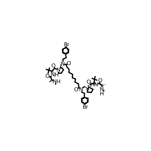 CN[C@@H](C)C(=O)N[C@H](C(=O)N1CCC[C@H]1CN(CCc1ccc(Br)cc1)C(=O)CCCCCCCCC(=O)N(CCc1ccc(Br)cc1)C[C@@H]1CCCN1C(=O)[C@@H](NC(=O)[C@H](C)NC)C(C)(C)C)C(C)(C)C